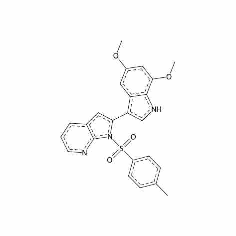 COc1cc(OC)c2[nH]cc(-c3cc4cccnc4n3S(=O)(=O)c3ccc(C)cc3)c2c1